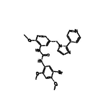 COc1cc(OC)c(NC(=O)Nc2cc(Cn3ccnc3-c3ccncc3)ccc2OC)cc1Br